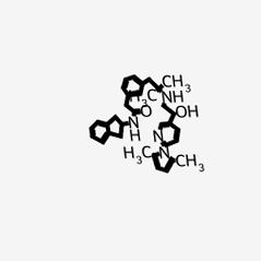 Cc1ccc(C)n1-c1ccc([C@H](O)CNC(C)(C)Cc2cccc(CC(=O)NC3Cc4ccccc4C3)c2)cn1